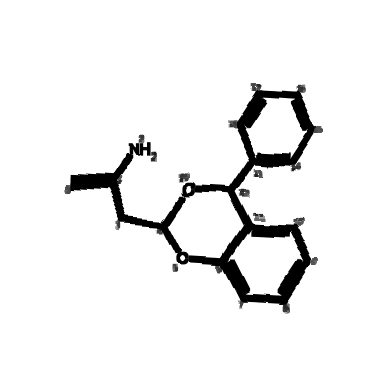 C=C(N)CC1Oc2ccccc2C(c2ccccc2)O1